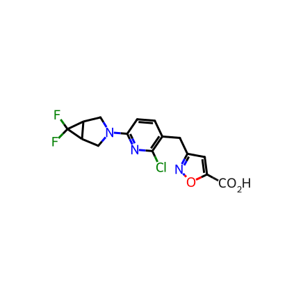 O=C(O)c1cc(Cc2ccc(N3CC4C(C3)C4(F)F)nc2Cl)no1